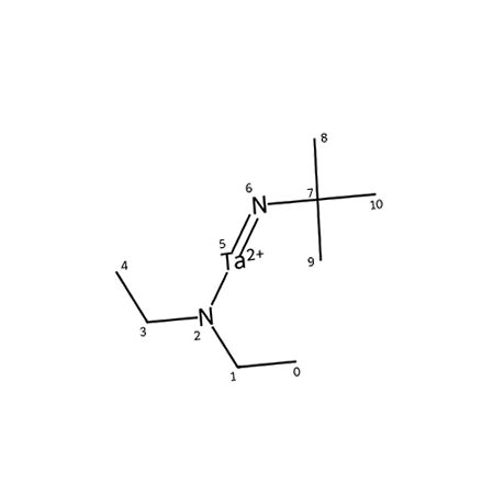 CC[N](CC)[Ta+2]=[N]C(C)(C)C